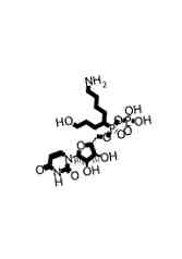 NCCCCC(CCCO)P(=O)(OC[C@H]1O[C@@H](n2ccc(=O)[nH]c2=O)[C@H](O)[C@@H]1O)OP(=O)(O)O